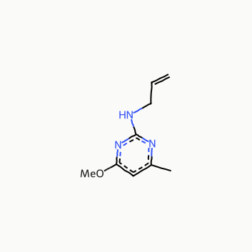 C=CCNc1nc(C)cc(OC)n1